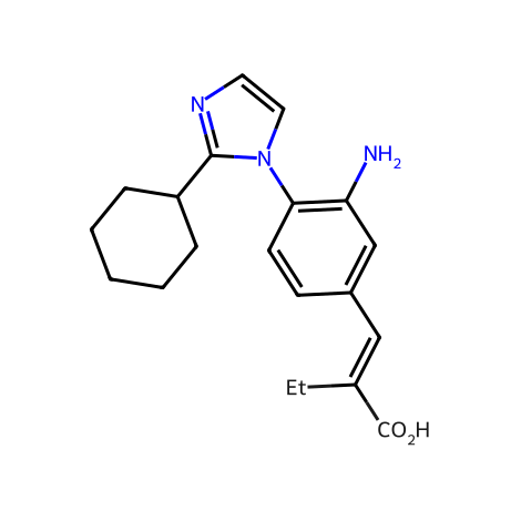 CC/C(=C\c1ccc(-n2ccnc2C2CCCCC2)c(N)c1)C(=O)O